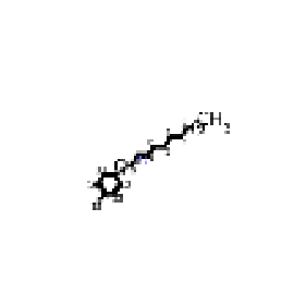 COCCCCC/C=C/COc1ccc(I)cc1